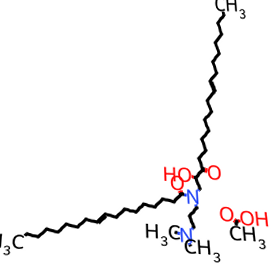 CC(=O)O.CCCCCCCCC=CCCCCCCCC(=O)C(O)CN(CCCN(C)C)C(=O)CCCCCCCC=CCCCCCCCC